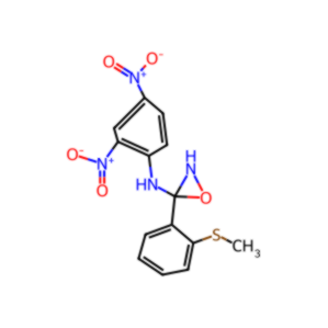 CSc1ccccc1C1(Nc2ccc([N+](=O)[O-])cc2[N+](=O)[O-])NO1